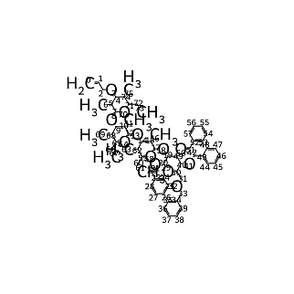 C=CCO[C@@H]1C(C)[C@@H](O[C@@H]2C(C)[C@@H](O[C@@H]3C(C)[C@@H](OC4[C@@H](OCc5ccccc5)OC(COCc5ccccc5)[C@@H](OCc5ccccc5)[C@H]4OCc4ccccc4)OC(CC)[C@H]3C)OC(CC)[C@H]2C)OC(CC)[C@H]1C